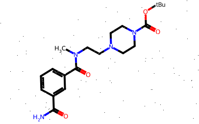 CN(CCN1CCN(C(=O)OC(C)(C)C)CC1)C(=O)c1cccc(C(N)=O)c1